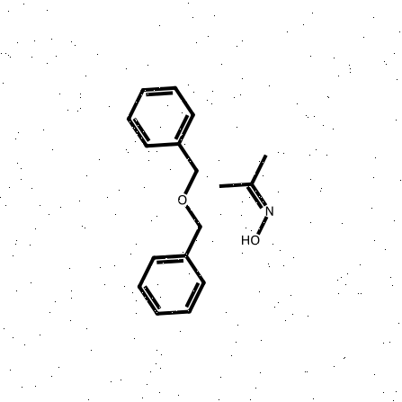 CC(C)=NO.c1ccc(COCc2ccccc2)cc1